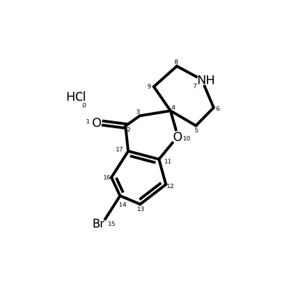 Cl.O=C1CC2(CCNCC2)Oc2ccc(Br)cc21